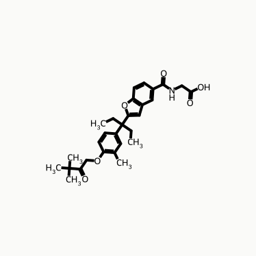 CCC(CC)(c1ccc(OCC(=O)C(C)(C)C)c(C)c1)c1cc2cc(C(=O)NCC(=O)O)ccc2o1